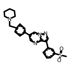 CS(=O)(=O)c1cccc(-c2cnn3cc(-c4ccc(CN5CCCCC5)cc4)cnc23)c1